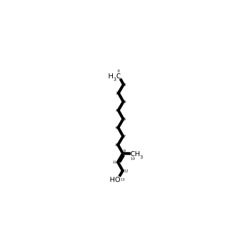 CCCCCCCCC/C(C)=C/CO